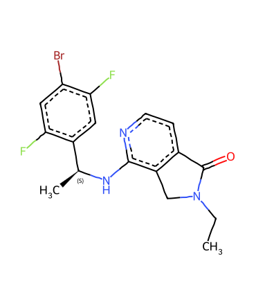 CCN1Cc2c(ccnc2N[C@@H](C)c2cc(F)c(Br)cc2F)C1=O